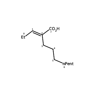 CCC=C(CCCCCCCC)C(=O)O